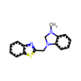 CN1CN(Cc2nc3ccccc3s2)c2ccccc21